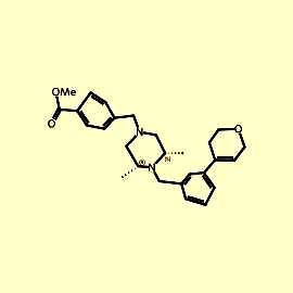 COC(=O)c1ccc(CN2C[C@@H](C)N(Cc3cccc(C4=CCOCC4)c3)[C@@H](C)C2)cc1